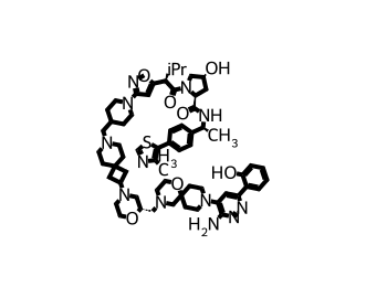 Cc1ncsc1-c1ccc([C@H](C)NC(=O)[C@@H]2C[C@@H](O)CN2C(=O)[C@@H](c2cc(N3CCC(CN4CCC5(CC4)CC(N4CCO[C@@H](CN6CCOC7(CCN(c8cc(-c9ccccc9O)nnc8N)CC7)C6)C4)C5)CC3)no2)C(C)C)cc1